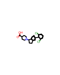 O=C(O)C1CCN(C2CCc3cc(-c4c(Cl)cccc4Cl)ccc32)CC1